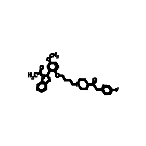 COc1ccc(OCCCCN2CCC(C(=O)Cc3ccc(F)cc3)CC2)c(C2Sc3ccccc3N2C(C)=O)c1